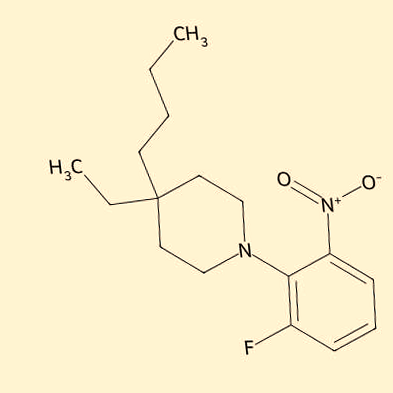 CCCCC1(CC)CCN(c2c(F)cccc2[N+](=O)[O-])CC1